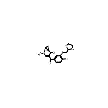 CN(C)C=C(C(=O)c1ccc(Cl)c(SCC2OCCO2)c1)C(=O)C1CC1